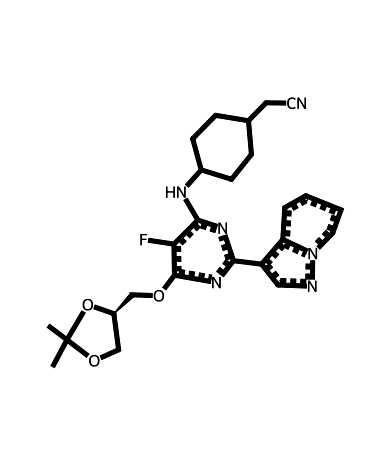 CC1(C)OC[C@H](COc2nc(-c3cnn4ccccc34)nc(NC3CCC(CC#N)CC3)c2F)O1